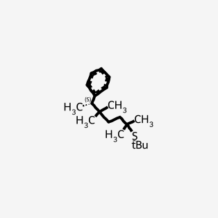 C[C@H](c1ccccc1)C(C)(C)CCC(C)(C)SC(C)(C)C